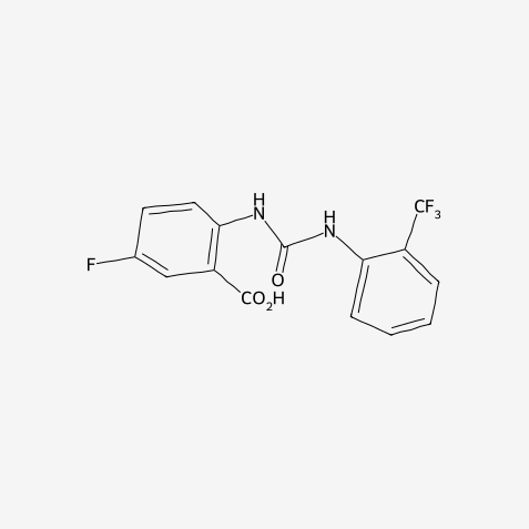 O=C(Nc1ccc(F)cc1C(=O)O)Nc1ccccc1C(F)(F)F